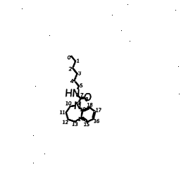 CCCCCCNC(=O)N1CCCCc2ccccc21